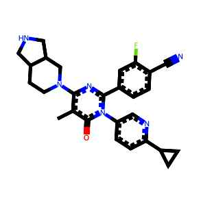 Cc1c(N2CCC3CNCC3C2)nc(-c2ccc(C#N)c(F)c2)n(-c2ccc(C3CC3)nc2)c1=O